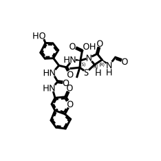 CC1(C)S[C@@H]2[C@H](NC=O)C(=O)N2[C@@]1(NC(=O)C(NC(=O)Nc1cc2ccccc2oc1=O)c1ccc(O)cc1)C(=O)O